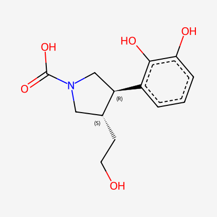 O=C(O)N1C[C@@H](CCO)[C@H](c2cccc(O)c2O)C1